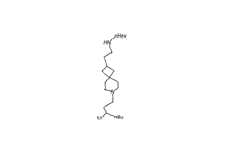 CCCCCCNCCC1CC2(CCN(CCC(CC)CCCC)CC2)C1